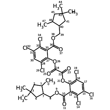 CC1CC(C)(C)CC1COC(=O)c1c(Cl)c(Cl)cc(Cl)c1OC(=O)C(=O)Oc1c(Cl)cc(Cl)c(Cl)c1C(=O)OCC1CC(C)(C)CC1C